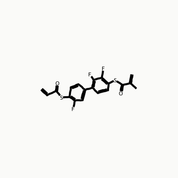 C=CC(=O)Sc1ccc(-c2ccc(SC(=O)C(=C)C)c(F)c2F)cc1F